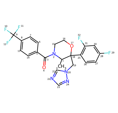 CC1N(C(=O)c2ccc(C(F)(F)F)cc2)CCOC1(Cn1cncn1)c1ccc(F)cc1F